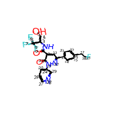 O=C(NC(CO)C(F)(F)F)c1cc(-c2ccc(CCF)cc2)nn(-c2cccnc2)c1=O